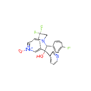 [O-][n+]1cccc(C(O)(c2cccnc2)C(c2ccc(F)cc2)N2CC(F)(F)C2)c1